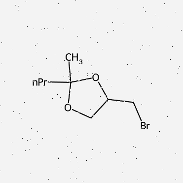 CCCC1(C)OCC(CBr)O1